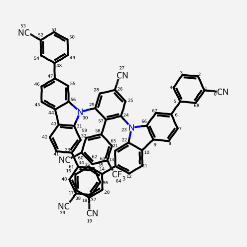 N#Cc1cccc(-c2ccc3c4ccc(-c5cccc(C#N)c5)cc4n(-c4cc(C#N)cc(-n5c6cc(-c7cccc(C#N)c7)ccc6c6ccc(-c7cccc(C#N)c7)cc65)c4-c4cc(C#N)cc(C(F)(F)F)c4)c3c2)c1